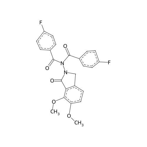 COc1ccc2c(c1OC)C(=O)N(N(C(=O)c1ccc(F)cc1)C(=O)c1ccc(F)cc1)C2